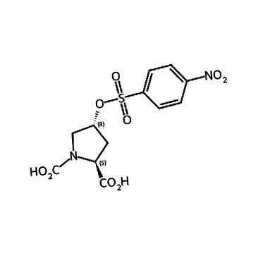 O=C(O)[C@@H]1C[C@@H](OS(=O)(=O)c2ccc([N+](=O)[O-])cc2)CN1C(=O)O